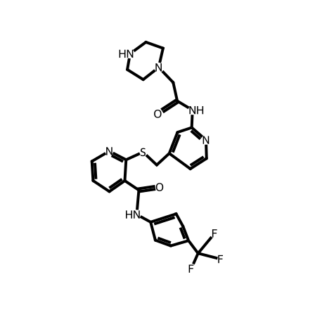 O=C(CN1CCNCC1)Nc1cc(CSc2ncccc2C(=O)Nc2ccc(C(F)(F)F)cc2)ccn1